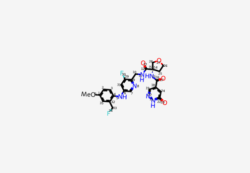 COc1ccc(Nc2cnc(CNC(=O)[C@]3(NC(=O)c4cn[nH]c(=O)c4)CCOC3)c(F)c2)c(CF)c1